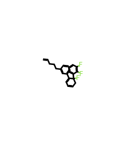 C=CCCCc1cccc(C2=CC=CCC2(F)c2cccc(F)c2F)c1